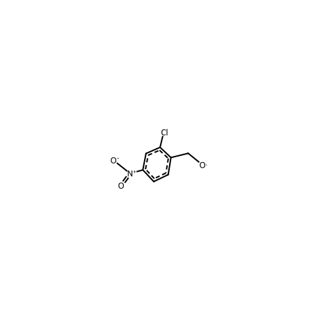 [O]Cc1ccc([N+](=O)[O-])cc1Cl